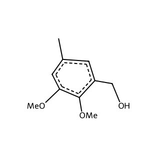 COc1cc(C)cc(CO)c1OC